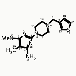 CNc1nc(N2CCN(Cc3ccsc3)CC2)nc(N)c1C